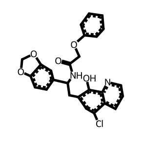 O=C(COc1ccccc1)NC(Cc1cc(Cl)c2cccnc2c1O)c1ccc2c(c1)OCO2